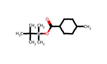 CC1CCC(C(=O)O[Si](C)(C)C(C)(C)C)CC1